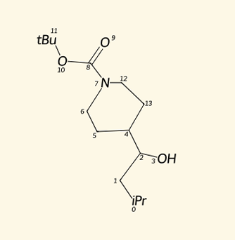 CC(C)CC(O)C1CCN(C(=O)OC(C)(C)C)CC1